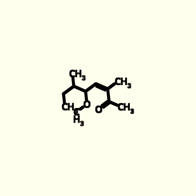 CCC(C)C(C=C(C)C(C)=O)OC